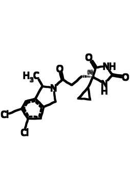 CC1c2cc(Cl)c(Cl)cc2CN1C(=O)CC[C@@]1(C2CC2)NC(=O)NC1=O